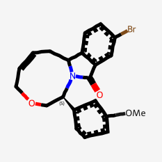 COc1cccc([C@H]2COCC=CCC3c4ccc(Br)cc4C(=O)N32)c1